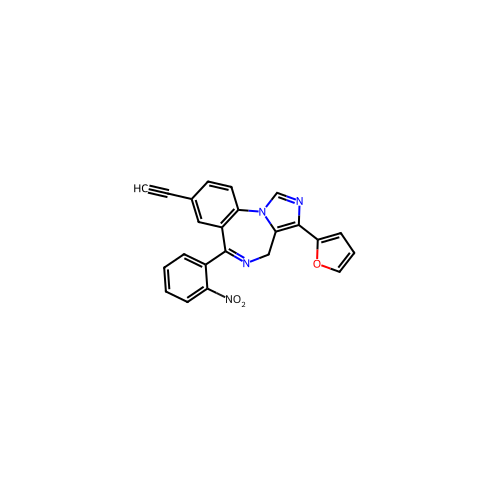 C#Cc1ccc2c(c1)C(c1ccccc1[N+](=O)[O-])=NCc1c(-c3ccco3)ncn1-2